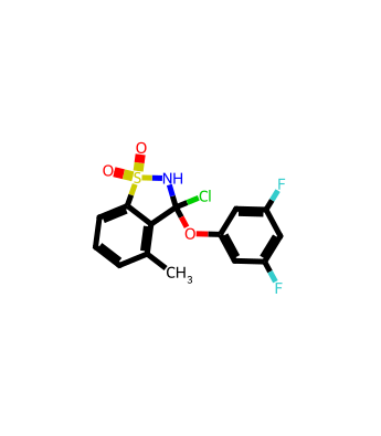 Cc1cccc2c1C(Cl)(Oc1cc(F)cc(F)c1)NS2(=O)=O